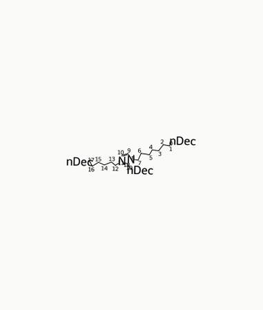 CCCCCCCCCCCCCCCCCN1C=CN(CCCCCCCCCCCCCCC)C1CCCCCCCCCC